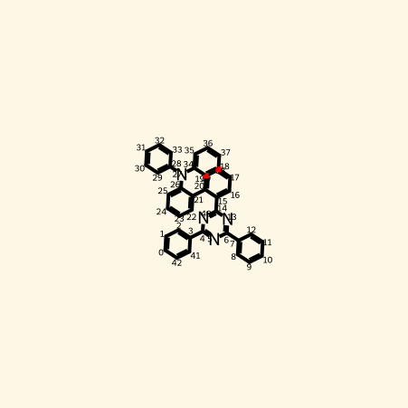 c1ccc(-c2nc(-c3ccccc3)nc(-c3ccccc3-c3ccccc3N(c3ccccc3)c3ccccc3)n2)cc1